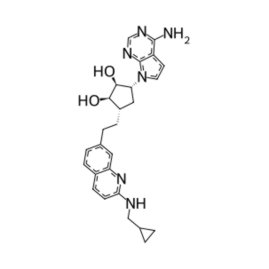 Nc1ncnc2c1ccn2[C@@H]1C[C@H](CCc2ccc3ccc(NCC4CC4)nc3c2)[C@@H](O)[C@H]1O